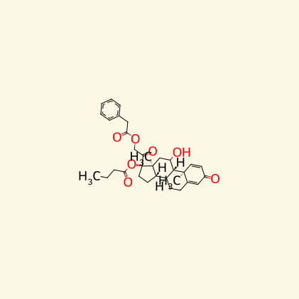 CCCC(=O)O[C@]1(C(=O)COC(=O)Cc2ccccc2)CC[C@H]2[C@@H]3CCC4=CC(=O)C=C[C@]4(C)[C@H]3C(O)C[C@@]21C